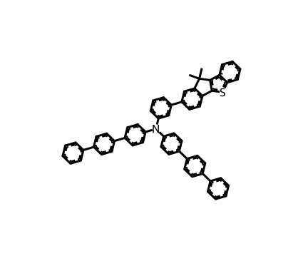 CC1(C)c2cc(-c3cccc(N(c4ccc(-c5ccc(-c6ccccc6)cc5)cc4)c4ccc(-c5ccc(-c6ccccc6)cc5)cc4)c3)ccc2-c2sc3ccccc3c21